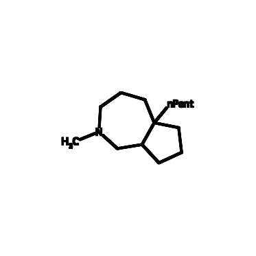 CCCCCC12CCCC1CN(C)CCC2